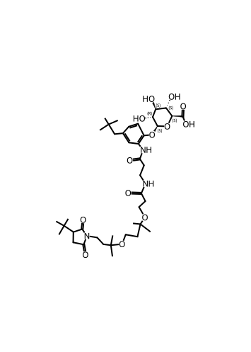 CC(C)(C)Cc1ccc(O[C@@H]2O[C@H](C(=O)O)[C@@H](O)[C@H](O)[C@H]2O)c(NC(=O)CCNC(=O)CCOC(C)(C)CCOC(C)(C)CCN2C(=O)CC(C(C)(C)C)C2=O)c1